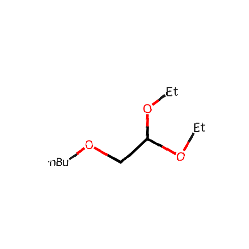 CCC[CH]OCC(OCC)OCC